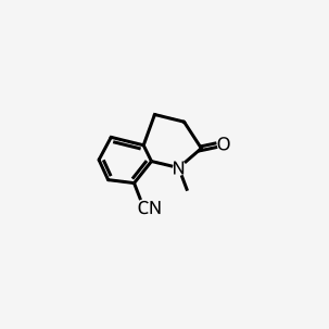 CN1C(=O)CCc2cccc(C#N)c21